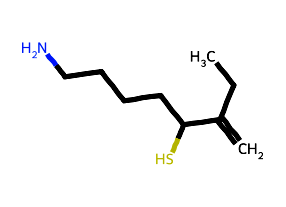 C=C(CC)C(S)CCCCN